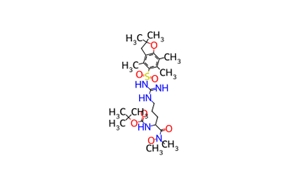 CON(C)C(=O)C(CCCNC(=N)NS(=O)(=O)c1c(C)c(C)c2c(c1C)CC(C)(C)O2)NC(=O)OC(C)(C)C